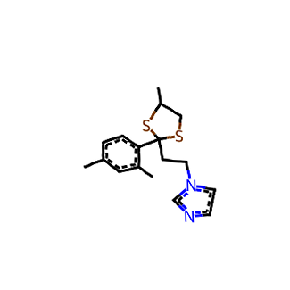 Cc1ccc(C2(CCn3ccnc3)SCC(C)S2)c(C)c1